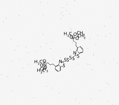 CO[Si](CCCc1cccc2sc(SSSSc3nc4c(CCC[Si](OC)(OC)OC)cccc4s3)nc12)(OC)OC